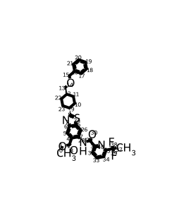 COC(=O)c1cc2nc([C@H]3CC[C@H](COCc4ccccc4)CC3)sc2cc1NC(=O)c1cccc(C(C)(F)F)n1